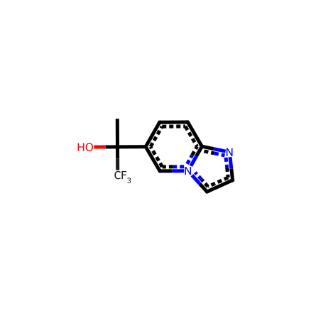 CC(O)(c1ccc2nccn2c1)C(F)(F)F